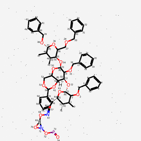 CC1C(OCc2ccccc2)[C@@H](O[C@@H]2C(OCc3ccccc3)[C@H](O[C@@H]3C(COCc4ccccc4)O[C@@H](OCc4ccccc4)C(C)[C@@H]3C)OC3COC(c4ccccc4)O[C@H]32)O[C@@H](C/B=N/OB2ON2OP=O)[C@H]1C